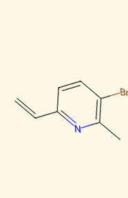 C=Cc1ccc(Br)c(C)n1